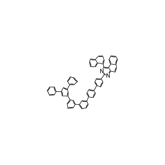 c1ccc(-c2cc(-c3ccccc3)cc(-c3cccc(-c4cccc(-c5ccc(-c6ccc(-c7nc(-c8cccc9ccccc89)c8c(ccc9ccccc98)n7)cc6)cc5)c4)c3)c2)cc1